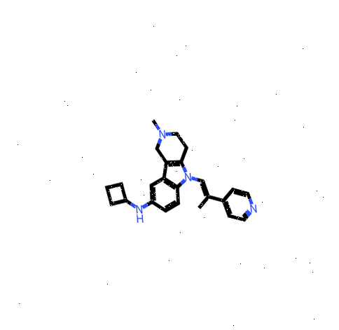 CC(=Cn1c2c(c3cc(NC4CCC4)ccc31)CN(C)CC2)c1ccncc1